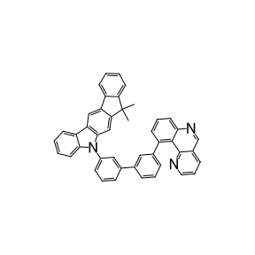 CC1(C)c2ccccc2-c2cc3c4ccccc4n(-c4cccc(-c5cccc(-c6cccc7ncc8cccnc8c67)c5)c4)c3cc21